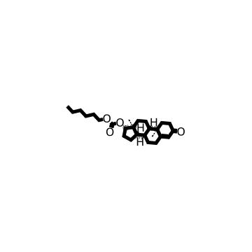 CCCCCCOC(=O)O[C@H]1CC[C@H]2[C@@H]3CCC4=CC(=O)CC[C@]4(C)[C@H]3CC[C@]12C